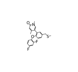 CSCc1ccc(Oc2ccc(F)cc2F)c(-c2cn(C)c(=O)cc2C)c1